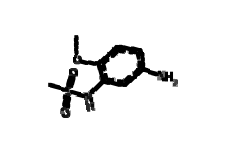 COc1ccc(N)cc1NS(C)(=O)=O